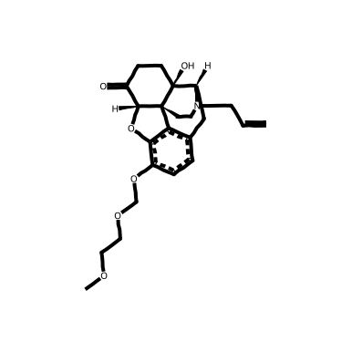 C=CCN1CC[C@@]23c4c5ccc(OCOCCOC)c4O[C@@H]2C(=O)CC[C@]3(O)[C@@H]1C5